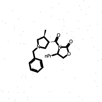 CCCC1COC(=O)N1C(=O)[C@@H]1CN(Cc2ccccc2)C[C@H]1C